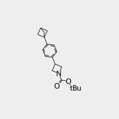 CC(C)(C)OC(=O)N1CC(c2ccc(C34CC(C3)C4)cc2)C1